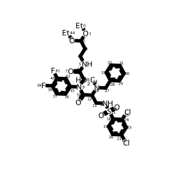 CCOC(CCNC(=O)CN(C(=O)C(CNS(=O)(=O)c1ccc(Cl)cc1Cl)N(Cc1ccccc1)C(=O)O)c1ccc(F)c(F)c1)OCC